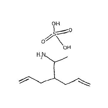 C=CCC(CC=C)C(C)N.O=S(=O)(O)O